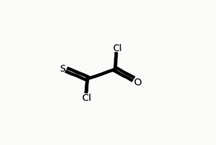 O=C(Cl)C(=S)Cl